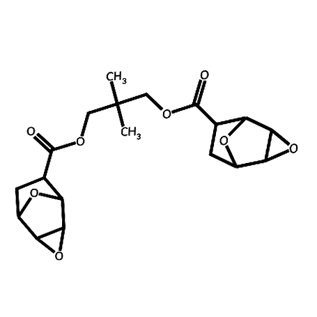 CC(C)(COC(=O)C1CC2OC1C1OC21)COC(=O)C1CC2OC1C1OC21